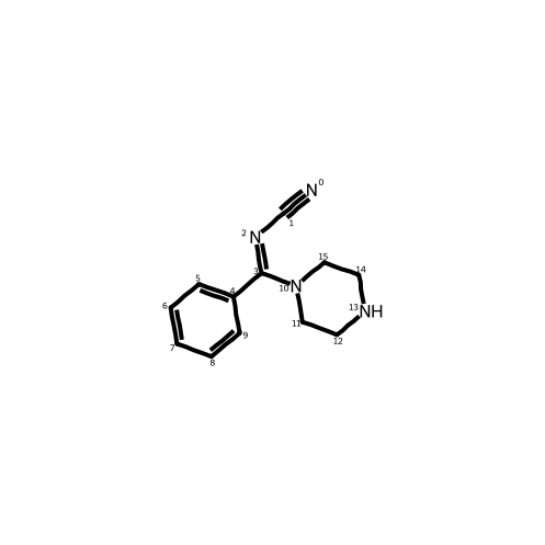 N#CN=C(c1ccccc1)N1CCNCC1